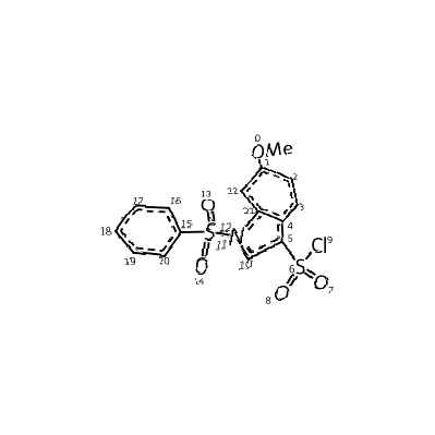 COc1ccc2c(S(=O)(=O)Cl)cn(S(=O)(=O)c3ccccc3)c2c1